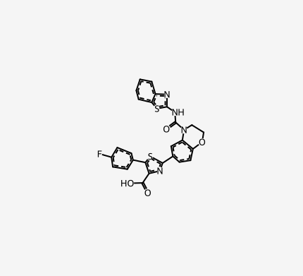 O=C(O)c1nc(-c2ccc3c(c2)N(C(=O)Nc2nc4ccccc4s2)CCO3)sc1-c1ccc(F)cc1